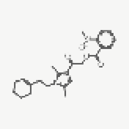 Cc1cc(C(=O)COC(=O)c2ccccc2[S+](C)[O-])c(C)n1CCC1=CCCCC1